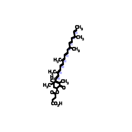 C/C=C/C(C)=C/C=C/C(C)=C/C=C/C=C(C)/C=C/C=C(C)/C=C/C1=C(C)C(=O)C(OC(=O)CCC(=O)O)CC1(C)C